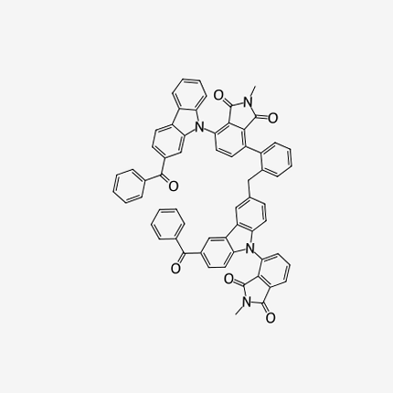 CN1C(=O)c2cccc(-n3c4ccc(Cc5ccccc5-c5ccc(-n6c7ccccc7c7ccc(C(=O)c8ccccc8)cc76)c6c5C(=O)N(C)C6=O)cc4c4cc(C(=O)c5ccccc5)ccc43)c2C1=O